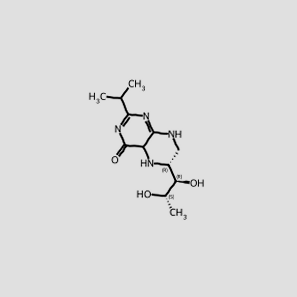 CC(C)C1=NC(=O)C2N[C@@H]([C@@H](O)[C@H](C)O)CNC2=N1